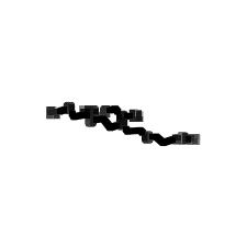 CCCCCCCCCCCCOCCOCCOCCOCC.CCOCC(=O)O